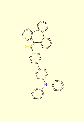 c1ccc(N(c2ccccc2)c2ccc(-c3ccc(-c4sc5cccc6c5c4-c4ccccc4-c4ccccc4-6)cc3)cc2)cc1